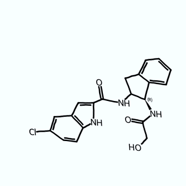 O=C(CO)N[C@@H]1c2ccccc2CC1NC(=O)c1cc2cc(Cl)ccc2[nH]1